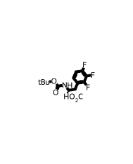 CC(C)(C)OC(=O)N[C@@H](Cc1ccc(F)c(F)c1F)C(=O)O